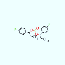 O=S(OC(CC(F)(F)F)c1ccc(F)cc1)OC(CC(F)(F)F)c1ccc(F)cc1